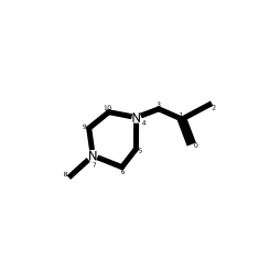 C=C(C)CN1CCN(C)CC1